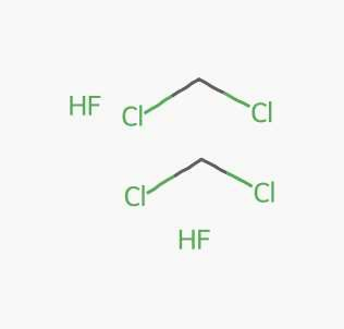 ClCCl.ClCCl.F.F